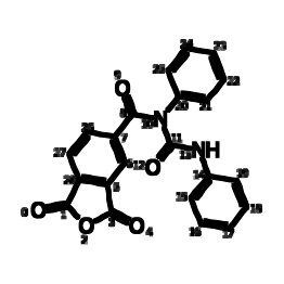 O=C1OC(=O)c2cc(C(=O)N(C(=O)Nc3ccccc3)c3ccccc3)ccc21